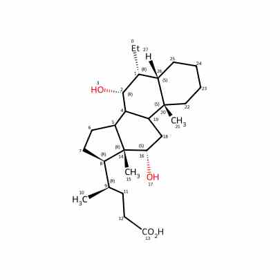 CC[C@H]1[C@@H](O)C2C3CC[C@H]([C@H](C)CCC(=O)O)[C@@]3(C)[C@@H](O)CC2[C@@]2(C)CCCC[C@@H]12